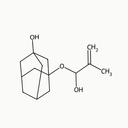 C=C(C)C(O)OC12CC3CC(CC(O)(C3)C1)C2